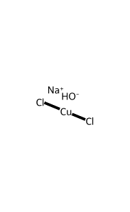 [Cl][Cu][Cl].[Na+].[OH-]